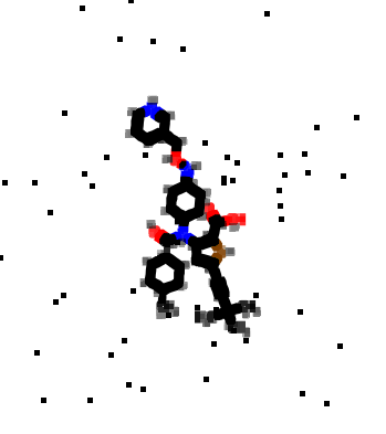 CC(C)(C)C#Cc1cc(N(C(=O)[C@H]2CC[C@H](C)CC2)C2CCC(=NOCc3cccnc3)CC2)c(C(=O)O)s1